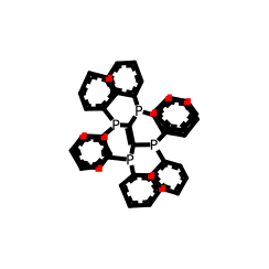 c1ccc(P(C(=C(P(c2ccccc2)c2ccccc2)P(c2ccccc2)c2ccccc2)P(c2ccccc2)c2ccccc2)c2ccccc2)cc1